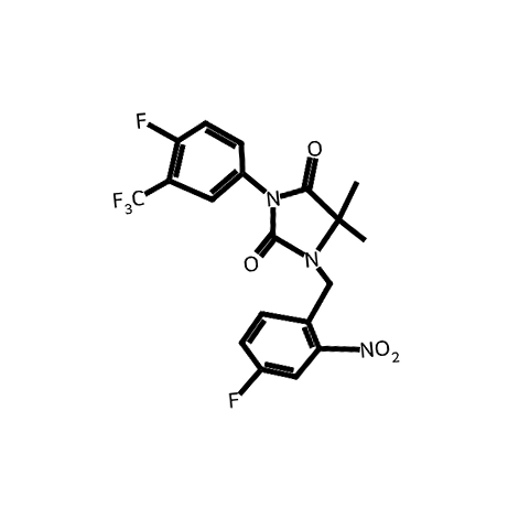 CC1(C)C(=O)N(c2ccc(F)c(C(F)(F)F)c2)C(=O)N1Cc1ccc(F)cc1[N+](=O)[O-]